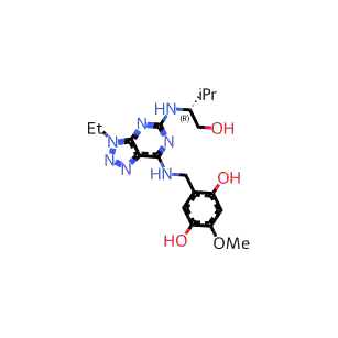 CCn1nnc2c(NCc3cc(O)c(OC)cc3O)nc(N[C@@H](CO)C(C)C)nc21